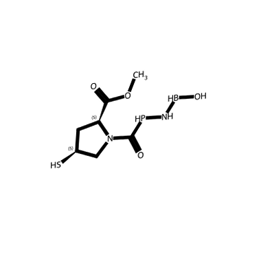 COC(=O)[C@@H]1C[C@H](S)CN1C(=O)PNBO